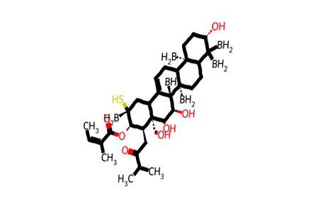 BC1(B)C2CC[C@]3(B)C(CC=C4C5C[C@@](B)(S)[C@@H](OC(=O)/C(C)=C\C)[C@H](CC(=O)C(C)C)[C@]5(CO)[C@H](O)[C@H](O)[C@]43B)[C@@]2(B)CC[C@@H]1O